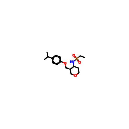 CCS(=O)(=O)N[C@H]1CCOC[C@H]1COc1ccc(C(C)C)cc1